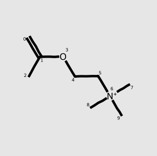 C=C(C)OCC[N+](C)(C)C